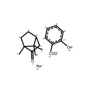 CC12CCC(CC1=O)C2(C)C.O=C([O-])c1ccccc1O.[Na+]